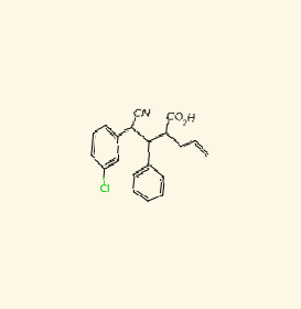 C=CCC(C(=O)O)C(c1ccccc1)C(C#N)c1cccc(Cl)c1